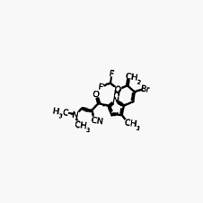 C=C(OC(F)F)/C(Br)=C\c1[nH]c(C(=O)/C(C#N)=C/N(C)C)cc1C